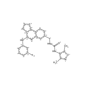 Cc1noc(C)c1NC(=O)NCc1ccc2c(c1)nc(Nc1cccc(F)c1)c1ccsc12